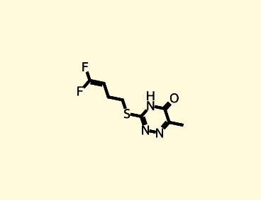 Cc1nnc(SCCC=C(F)F)[nH]c1=O